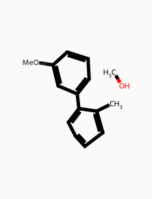 CO.COc1cccc(-c2ccccc2C)c1